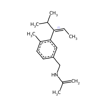 C=C(C)NCc1ccc(C)c(/C(=C\C)C(C)C)c1